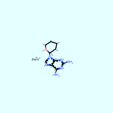 CCC[C@H](C)c1nc2c(N)nc(N)nc2n1C1CCCCO1